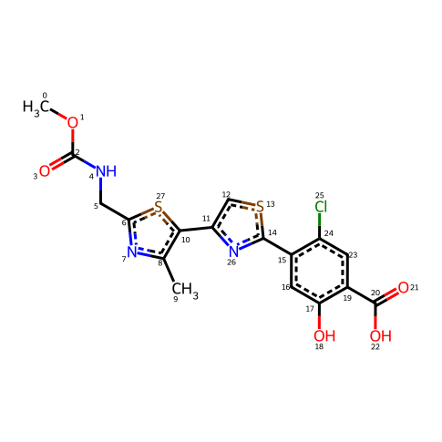 COC(=O)NCc1nc(C)c(-c2csc(-c3cc(O)c(C(=O)O)cc3Cl)n2)s1